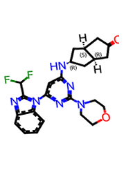 O=C1C[C@@H]2C[C@@H](Nc3cc(-n4c(C(F)F)nc5ccccc54)nc(N4CCOCC4)n3)C[C@@H]2C1